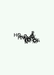 O=C(NCCO)c1cnc2ccc(N3C[C@@H](F)C[C@@H]3c3cccc(F)c3)nn12